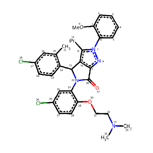 COc1ccccc1-n1nc2c(c1C(C)C)C(c1ccc(Cl)cc1C)N(c1cc(Cl)ccc1OCCN(C)C)C2=O